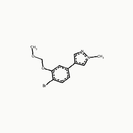 COCOc1cc(-c2cnn(C)c2)ccc1Br